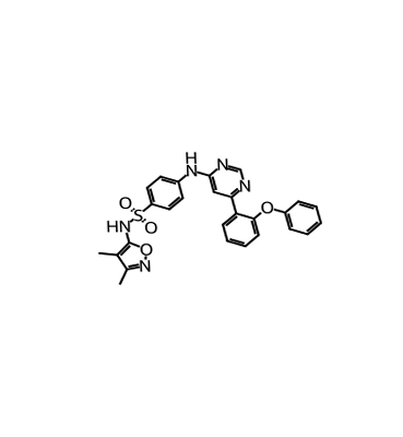 Cc1noc(NS(=O)(=O)c2ccc(Nc3cc(-c4ccccc4Oc4ccccc4)ncn3)cc2)c1C